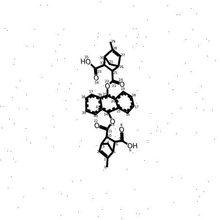 CC1=CC2CC1C(C(=O)O)C2C(=O)Oc1c2ccccc2c(OC(=O)C2C3C=C(C)C(C3)C2C(=O)O)c2ccccc12